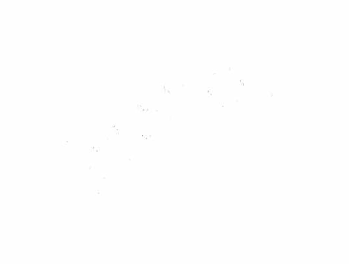 CC(=O)c1c(C)c2cnc(Nc3ccc(N4CCN(CCBr)CC4)cn3)nc2n(C2CCCC2)c1=O